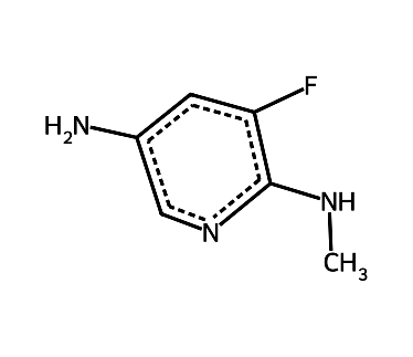 CNc1ncc(N)cc1F